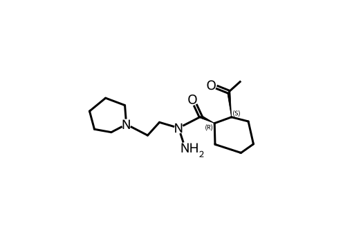 CC(=O)[C@H]1CCCC[C@H]1C(=O)N(N)CCN1CCCCC1